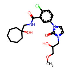 COCC(O)Cn1ccn(-c2ccc(Cl)c(C(=O)NCC3(O)CCCCCC3)c2)c1=O